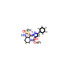 CC(C)OC(O)N1CCCC(NS(C)(=O)=O)C1Cn1ccc(-c2ccccc2)n1